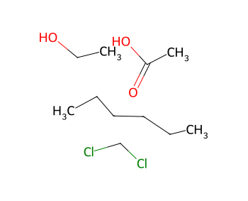 CC(=O)O.CCCCCC.CCO.ClCCl